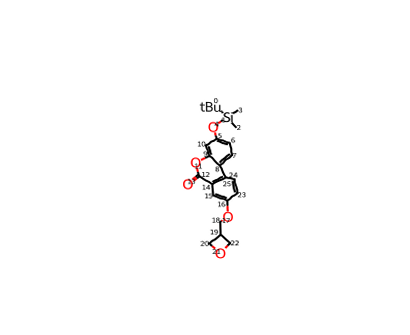 CC(C)(C)[Si](C)(C)Oc1ccc2c(c1)oc(=O)c1cc(OCC3COC3)ccc12